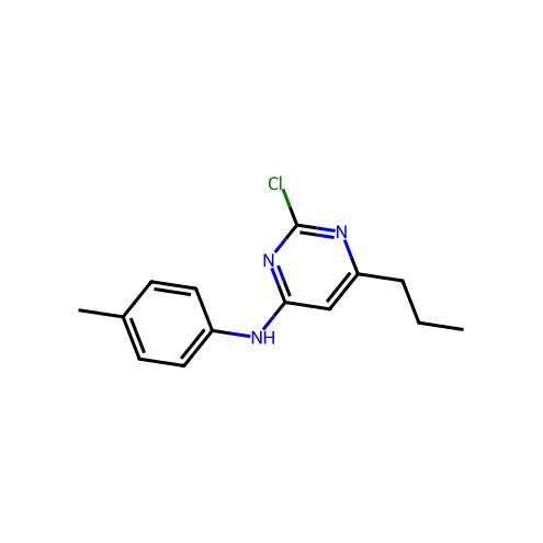 CCCc1cc(Nc2ccc(C)cc2)nc(Cl)n1